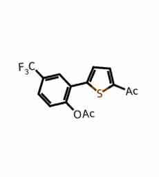 CC(=O)Oc1ccc(C(F)(F)F)cc1-c1ccc(C(C)=O)s1